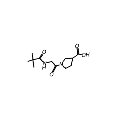 CC(C)(C)C(=O)NCC(=O)N1CCC(C(=O)O)C1